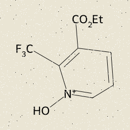 CCOC(=O)c1ccc[n+](O)c1C(F)(F)F